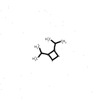 CC(C)[C]1CCC1C(C)C